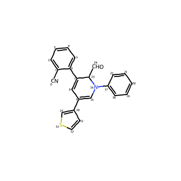 N#Cc1ccccc1C1=CC(c2ccsc2)=CN(c2ccccc2)C1C=O